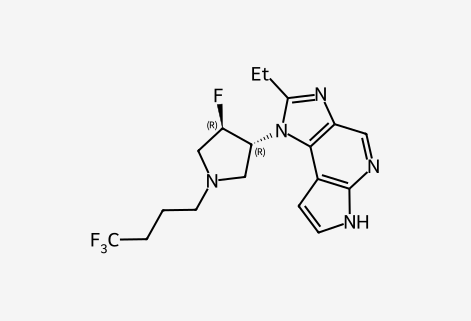 CCc1nc2cnc3[nH]ccc3c2n1[C@@H]1CN(CCCC(F)(F)F)C[C@H]1F